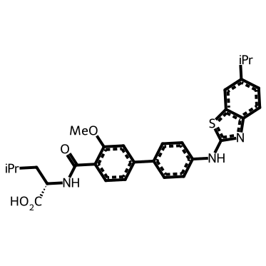 COc1cc(-c2ccc(Nc3nc4ccc(C(C)C)cc4s3)cc2)ccc1C(=O)N[C@@H](CC(C)C)C(=O)O